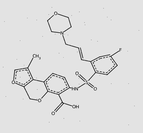 Cc1coc2c1-c1ccc(NS(=O)(=O)c3ccc(F)cc3C=CCN3CCOCC3)c(C(=O)O)c1OC2